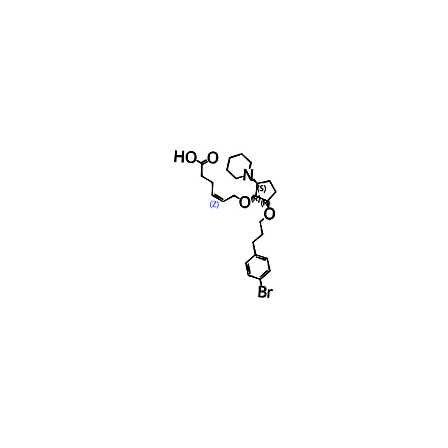 O=C(O)CC/C=C\CO[C@H]1[C@H](OCCCc2ccc(Br)cc2)CC[C@@H]1N1CCCCC1